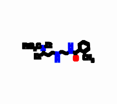 CCOC(=O)N(CC)C(CC)CCNCCNC(=O)c1ccccc1C